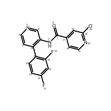 O=C(Nc1cnccc1-c1ccc(F)cc1F)c1ccnc(Cl)c1